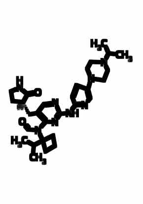 CC(C)N1CCN(c2ccc(Nc3ncc(C[C@@H]4CCNC4=O)c(N(C=O)C4(C(C)C)CCC4)n3)nc2)CC1